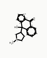 CN1CCC(C2(O)c3ccccc3C(=O)c3sccc32)C1